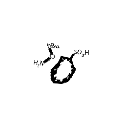 CCCCON.O=S(=O)(O)c1ccccc1